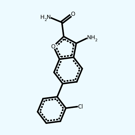 NC(=O)c1oc2cc(-c3ccccc3Cl)ccc2c1N